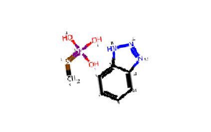 C=S=P(O)(O)O.c1ccc2[nH]nnc2c1